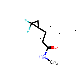 [CH2]NC(=O)CCC1CC1(F)F